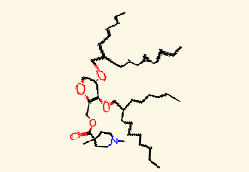 CCCCCCCCC(CCCCCC)CO[C@@H]1[C@@H](OCC(CCCCCC)CCCCCCCC)CO[C@@H]1COC(=O)C1(C)CCN(C)CC1